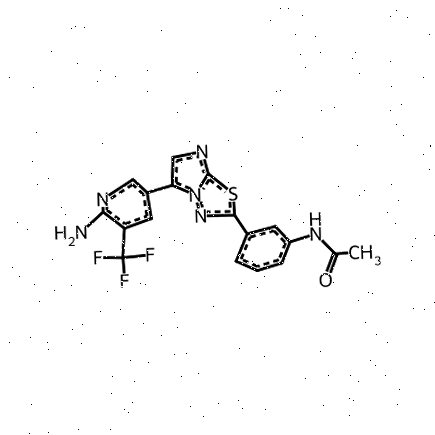 CC(=O)Nc1cccc(-c2nn3c(-c4cnc(N)c(C(F)(F)F)c4)cnc3s2)c1